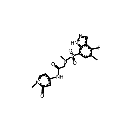 Cc1cc(S(=O)(=O)N(C)CC(=O)Nc2ccn(C)c(=O)c2)c2[nH]ncc2c1F